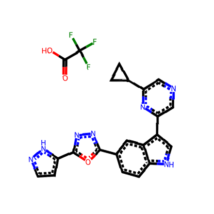 O=C(O)C(F)(F)F.c1cc(-c2nnc(-c3ccc4[nH]cc(-c5cncc(C6CC6)n5)c4c3)o2)[nH]n1